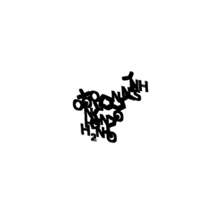 COc1ccc2c(OC3CC(C(N)=O)N(C(=O)[C@H](NC(=O)OC(C)(C)C)C(C)C)C3)cc(-c3csc(NC(C)C)n3)nc2c1